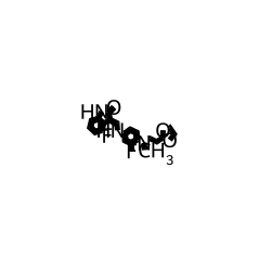 CN(CCC1OCCO1)c1ccc(N/C=C2/C(=O)Nc3cccc(F)c32)cc1F